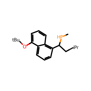 CPC(CC(C)C)c1cccc2c(OC(C)(C)C)cccc12